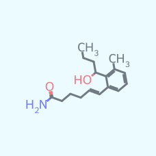 CCCC(O)c1c(C)cccc1C=CCCCC(N)=O